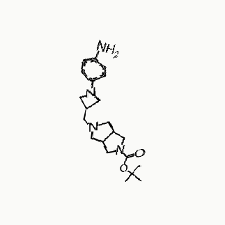 CC(C)(C)OC(=O)N1CC2CN(CC3CN(c4ccc(N)cc4)C3)CC2C1